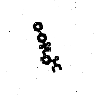 CCN(CC)C(=O)c1ccnc(CNS(=O)(=O)c2ccc(-c3ccccc3)cc2)c1